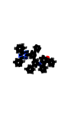 C1=C(c2cc(-c3ccccc3)cc(-c3nc(-c4ccccc4)nc(-c4ccccc4)n3)c2)C=C(n2c3ccccc3c3c4c(ccc32)oc2ccccc24)CC1c1ccccc1